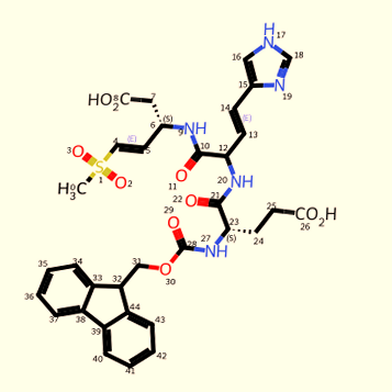 CS(=O)(=O)/C=C/[C@H](CC(=O)O)NC(=O)C(/C=C/c1c[nH]cn1)NC(=O)[C@H](CCC(=O)O)NC(=O)OCC1c2ccccc2-c2ccccc21